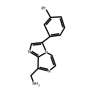 CC(C)c1cccc(-c2cnc3c(CN)nccn23)c1